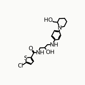 O=C(NCC(O)CNc1ccc(N2CCCCC2CO)cc1)c1ccc(Cl)s1